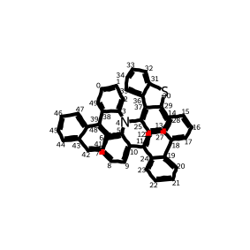 c1ccc(N(c2ccccc2-c2cc3ccccc3c3ccccc23)c2cccc3sc4ccccc4c23)c(-c2cccc3ccccc23)c1